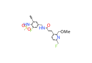 C#Cc1cc(CNC(=O)/C=C/c2ccc(CF)nc2COC)cc(F)c1NS(C)(=O)=O